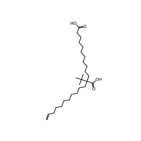 C=CCCCCCCCCCC(CCCCCCCCCCC(=O)O)(C(=O)O)C(C)(C)C